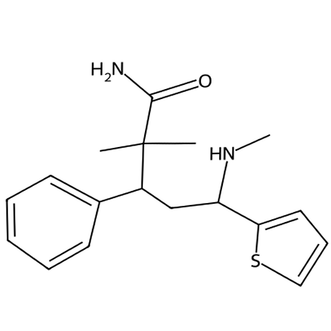 CNC(CC(c1ccccc1)C(C)(C)C(N)=O)c1cccs1